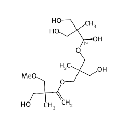 C=C(OCC(C)(CO)CO[C@H](O)C(C)(CO)CO)C(C)(CO)COC